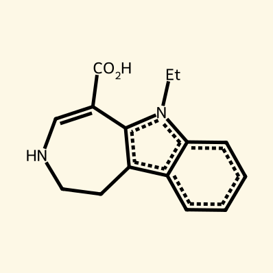 CCn1c2c(c3ccccc31)CCNC=C2C(=O)O